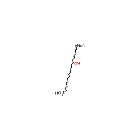 CCCCCCCCCC=CCC=CCC(O)CCCCCCCCCCCCC(=O)O